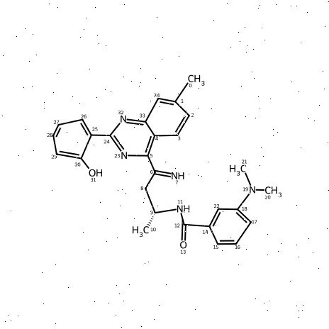 Cc1ccc2c(C(=N)C[C@@H](C)NC(=O)c3cccc(N(C)C)c3)nc(-c3ccccc3O)nc2c1